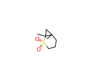 CC12CCCS(=O)(=O)C1(C)C2